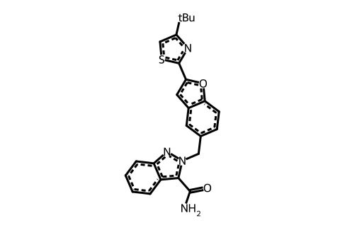 CC(C)(C)c1csc(-c2cc3cc(Cn4nc5ccccc5c4C(N)=O)ccc3o2)n1